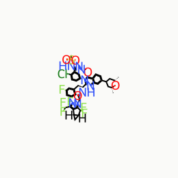 C[C@@H]1CC(c2ccc3c(=O)n(-c4ccc(Cl)c5c(NS(C)(=O)=O)nn(C)c45)c([C@H](Cc4cc(F)cc(F)c4)NC(=O)Cn4nc(C(F)F)c5c4C(F)(F)[C@@H]4C[C@H]54)nc3c2)C[C@H](C)O1